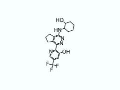 Oc1cc(C(F)(F)F)cnc1-c1nnc(NC2CCCCC2O)c2c1CCC2